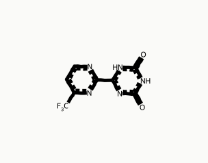 O=c1nc(-c2nccc(C(F)(F)F)n2)[nH]c(=O)[nH]1